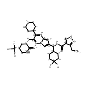 CCc1nonc1C(=O)N[C@H](c1cn2nc(C[C@H]3C[C@@H](C(F)(F)F)CNC3=O)c(C3CCOCC3)nc2n1)C1CCC(F)(F)CC1